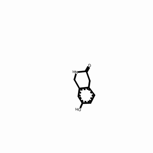 O=C1Cc2ccc(O)cc2CN1